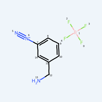 F[B-](F)(F)F.N#[N+]c1cccc(CN)c1